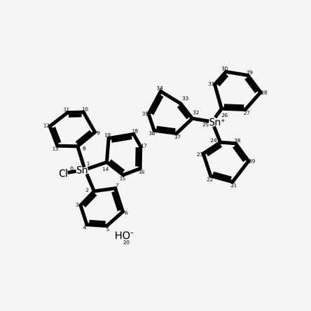 [Cl][Sn]([c]1ccccc1)([c]1ccccc1)[c]1ccccc1.[OH-].c1cc[c]([Sn+]([c]2ccccc2)[c]2ccccc2)cc1